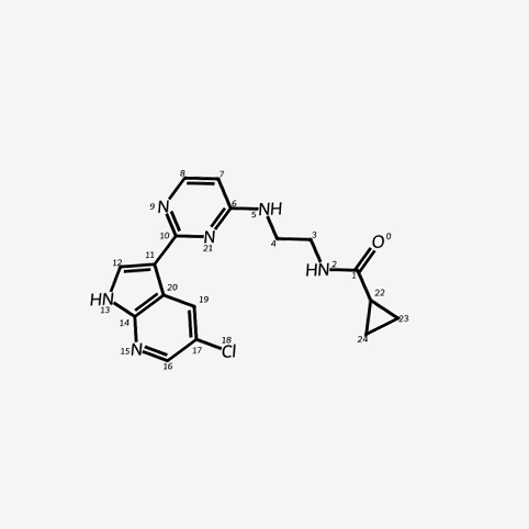 O=C(NCCNc1ccnc(-c2c[nH]c3ncc(Cl)cc23)n1)C1CC1